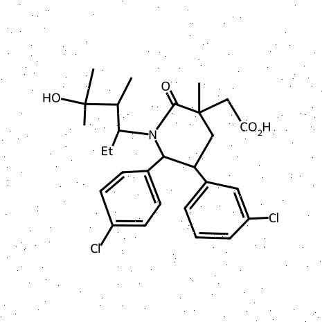 CCC(C(C)C(C)(C)O)N1C(=O)C(C)(CC(=O)O)CC(c2cccc(Cl)c2)C1c1ccc(Cl)cc1